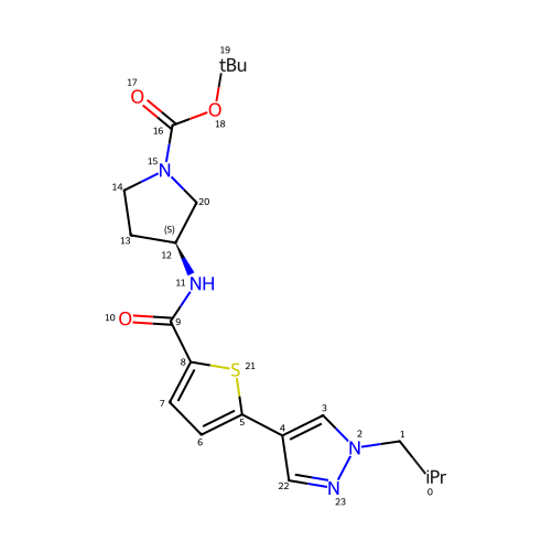 CC(C)Cn1cc(-c2ccc(C(=O)N[C@H]3CCN(C(=O)OC(C)(C)C)C3)s2)cn1